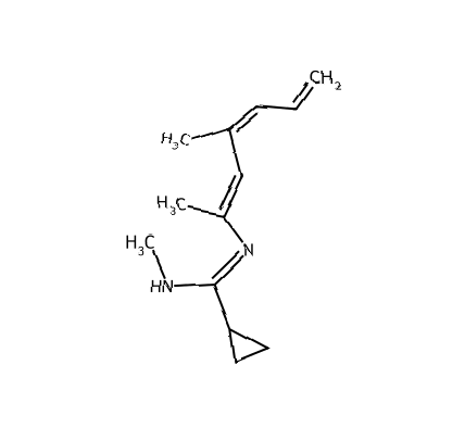 C=C\C=C(C)/C=C(C)/N=C(\NC)C1CC1